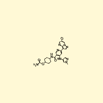 Cn1cc(Nc2cc(-c3cnn4cc(Cl)cnc34)ncc2C(=O)NC2CCC(OC(N)=O)CC2)cn1